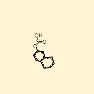 O=S(O)Oc1ccc2ccccc2c1